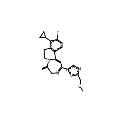 C=C1CN=C(n2cnc(COC)n2)C=C2c3ccc(F)c(C4CC4)c3CCN12